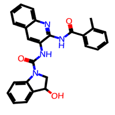 Cc1ccccc1C(=O)Nc1nc2ccccc2cc1NC(=O)N1CC(O)c2ccccc21